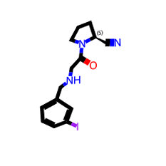 N#C[C@@H]1CCCN1C(=O)CNCc1cccc(I)c1